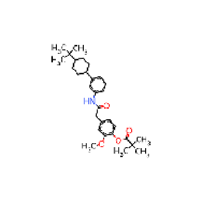 COc1cc(CC(=O)Nc2cccc(C3CCC(C(C)(C)C)CC3)c2)ccc1OC(=O)C(C)(C)C